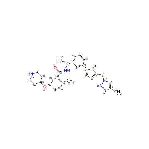 Cc1cn(Cc2ccc(-c3cccc([C@@H](C)NC(=O)c4cc(OC5CCNCC5)ccc4C)c3)s2)nn1